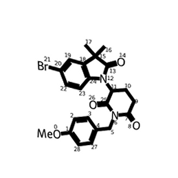 COc1ccc(CN2C(=O)CCC(N3C(=O)C(C)(C)c4cc(Br)ccc43)C2=O)cc1